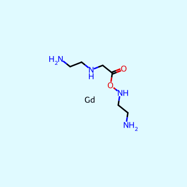 NCCNCC(=O)ONCCN.[Gd]